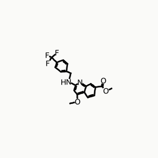 COC(=O)c1ccc2c(OC)cc(NCc3ccc(C(F)(F)F)cc3)nc2c1